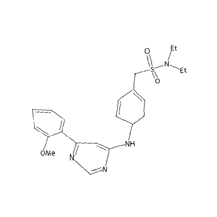 CCN(CC)S(=O)(=O)CC1=CCC(Nc2cc(-c3ccccc3OC)ncn2)C=C1